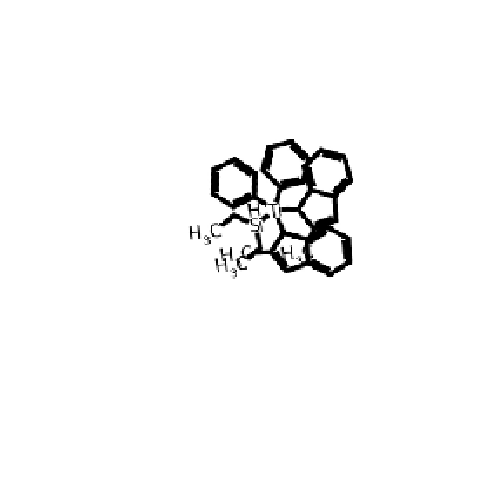 CC[SiH](CC)[Ti]([c]1ccccc1)([c]1ccccc1)([CH]1C(C)=Cc2ccccc21)[CH]1C(C)=Cc2ccccc21